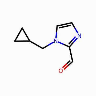 O=Cc1nccn1CC1CC1